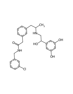 CC(Cc1cccc(CC(=O)NCc2cccc(Cl)c2)c1)NCC(O)c1cc(O)cc(O)c1